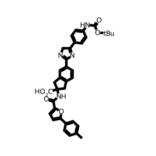 Cc1ccc(-c2ccc(C(=O)NC3(C(=O)O)Cc4ccc(C5=NCC(c6ccc(NC(=O)OC(C)(C)C)cc6)=N5)cc4C3)o2)cc1